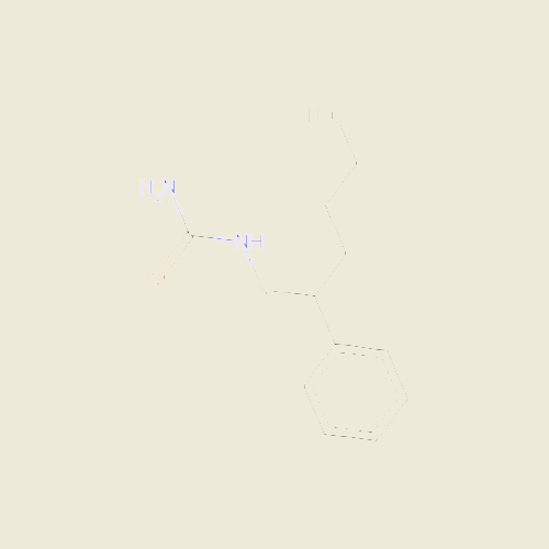 CCCCC(SNC(N)=O)c1ccccc1